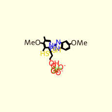 COc1ccc2[nH]c(-[n+]3cc(C)c(OC)c(C)c3C(S)(S)CCO)nc2c1.[O-][Cl+3]([O-])([O-])[O-]